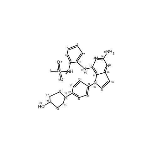 CS(=O)(=O)Nc1ccccc1Nc1nc(N)nc2ccn(-c3ccc(N4CCC(O)CC4)cc3)c12